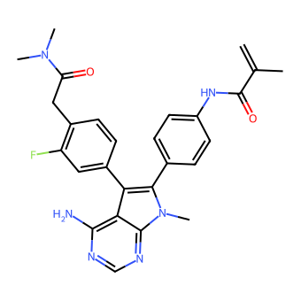 C=C(C)C(=O)Nc1ccc(-c2c(-c3ccc(CC(=O)N(C)C)c(F)c3)c3c(N)ncnc3n2C)cc1